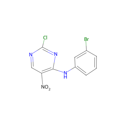 O=[N+]([O-])c1cnc(Cl)nc1Nc1cccc(Br)c1